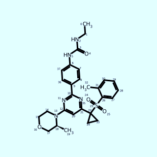 CCNC(=O)Nc1ccc(-c2nc(N3CCOC[C@@H]3C)cc(C3(S(=O)(=O)c4ccccc4C)CC3)n2)cc1